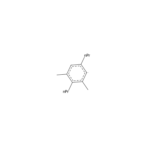 CCCc1[c]c(C)c(CCC)c(C)c1